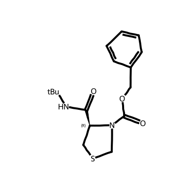 CC(C)(C)NC(=O)[C@@H]1CSCN1C(=O)OCc1ccccc1